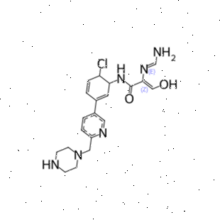 N/C=N/C(=C\O)C(=O)NC1C=C(c2ccc(CN3CCNCC3)nc2)C=CC1Cl